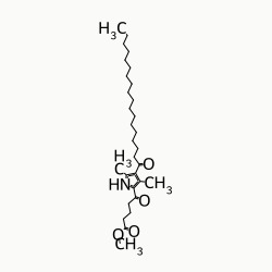 CCCCCCCCCCCCCCCCCC(=O)c1c(C)[nH]c(C(=O)CCCC(=O)OC)c1C